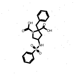 O=C(O)N1CC(NS(=O)(=O)c2ccccc2)CC1(Cc1ccccc1)C(=O)O